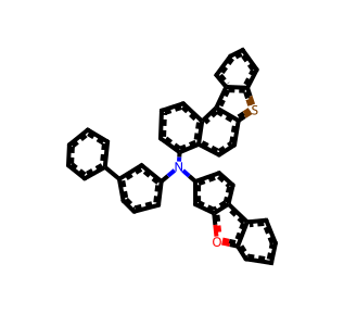 c1ccc(-c2cccc(N(c3ccc4c(c3)oc3ccccc34)c3cccc4c3ccc3sc5ccccc5c34)c2)cc1